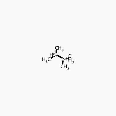 C[SiH](C)[SiH](C)C